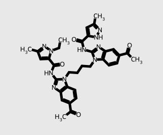 CCn1nc(C)cc1C(=O)Nc1nc2cc(C(C)=O)ccc2n1CCCCn1c(NC(=O)c2cc(C)n[nH]2)nc2cc(C(C)=O)ccc21